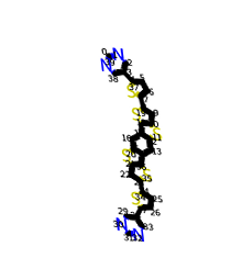 c1ncc(-c2ccc(-c3cc4sc5cc6c(cc5c4s3)sc3cc(-c4ccc(-c5cncnc5)s4)sc36)s2)cn1